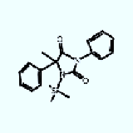 CC1(c2ccccc2)C(=O)N(c2ccccc2)C(=O)N1[Si](C)(C)C